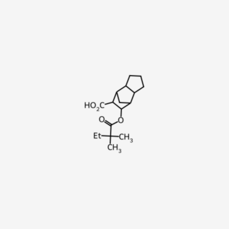 CCC(C)(C)C(=O)OC1C2CC(C3CCCC32)C1C(=O)O